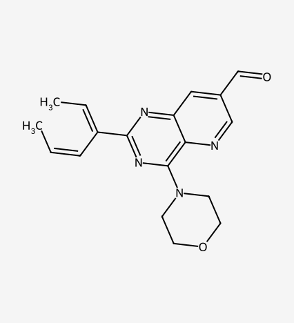 C/C=C\C(=C/C)c1nc(N2CCOCC2)c2ncc(C=O)cc2n1